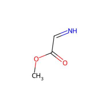 COC(=O)C=N